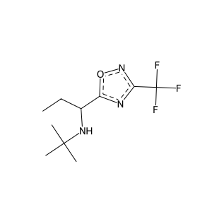 CCC(NC(C)(C)C)c1nc(C(F)(F)F)no1